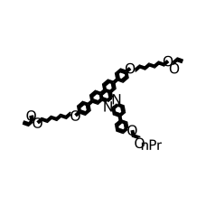 C=CC(=O)OCCCCCCCOc1ccc(-c2ccc3c4ccc(-c5ccc(OCCCCCCCOC(=O)C=C)cc5)cc4c4nc5cc(-c6cccc(OCCOCCC)c6)ccc5nc4c3c2)cc1